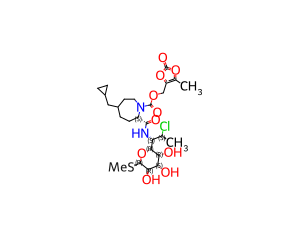 CS[C@H]1O[C@H]([C@H](NC(=O)[C@@H]2CCC(CC3CC3)CCN2C(=O)OCc2oc(=O)oc2C)[C@H](C)Cl)[C@H](O)[C@H](O)[C@H]1O